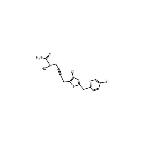 NC(=O)N(O)CC#CCc1sc(Cc2ccc(F)cc2)cc1Cl